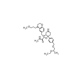 CCO[C@H](C)COCc1ccc([C@@]2(OCC(=O)NC)CCNC[C@@H]2OCc2ccc3c(c2)N(CCCOC)CCO3)cc1